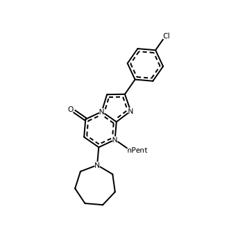 CCCCCn1c(N2CCCCCC2)cc(=O)n2cc(-c3ccc(Cl)cc3)nc12